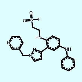 O=S(=O)(F)CCNc1ccc(Nc2ccccc2)cc1-c1ccn(Cc2cccnc2)n1